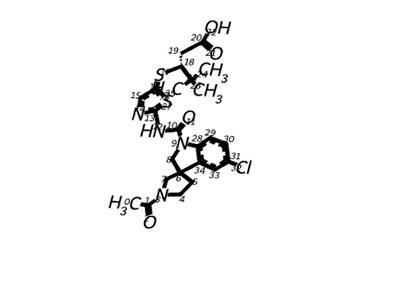 CC(=O)N1CCC2(C1)CN(C(=O)Nc1ncc(S[C@H](CC(=O)O)C(C)(C)C)s1)c1ccc(Cl)cc12